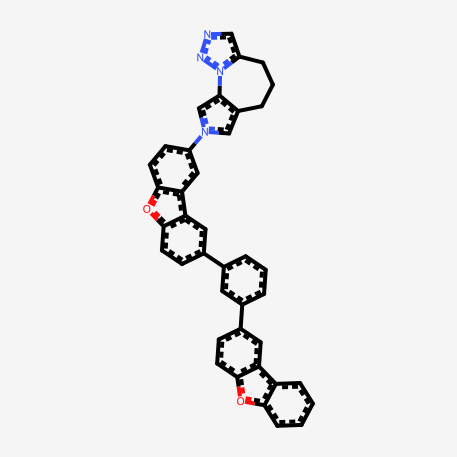 c1cc(-c2ccc3oc4ccccc4c3c2)cc(-c2ccc3oc4ccc(-n5cc6c(c5)-n5nncc5CCC6)cc4c3c2)c1